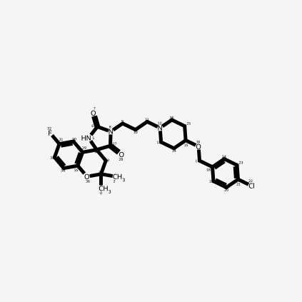 CC1(C)CC2(NC(=O)N(CCCN3CCC(OCc4ccc(Cl)cc4)CC3)C2=O)c2cc(F)ccc2O1